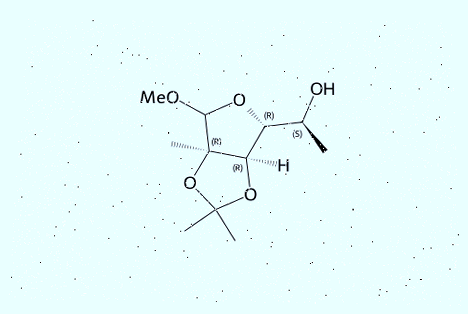 COC1O[C@H]([C@H](C)O)[C@H]2OC(C)(C)O[C@@]12C